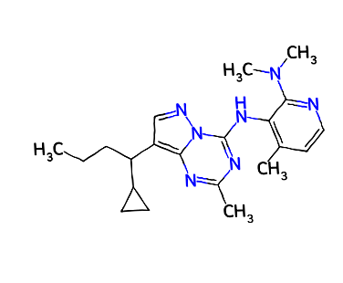 CCCC(c1cnn2c(Nc3c(C)ccnc3N(C)C)nc(C)nc12)C1CC1